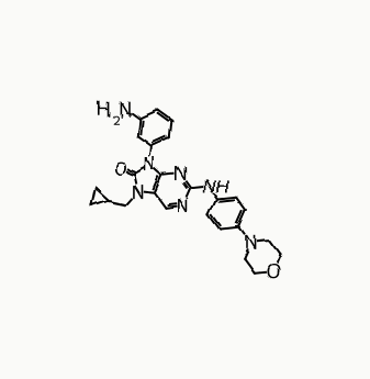 Nc1cccc(-n2c(=O)n(CC3CC3)c3cnc(Nc4ccc(N5CCOCC5)cc4)nc32)c1